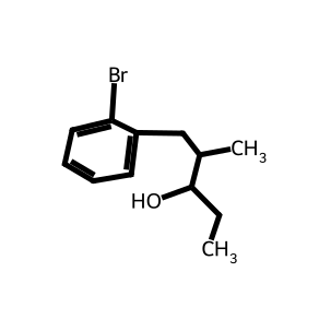 CCC(O)C(C)Cc1ccccc1Br